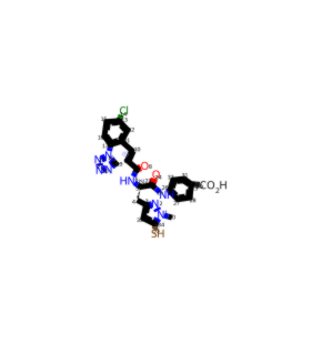 Cn1nc(C[C@H](NC(=O)/C=C/c2cc(Cl)ccc2-n2cnnn2)C(=O)Nc2ccc(C(=O)O)cc2)cc1S